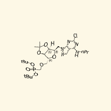 CCCNc1nc(Cl)nc2c1cnn2C[C@H]1O[C@H](COCP(=O)(OC(C)(C)C)OC(C)(C)C)C2OC(C)(C)O[C@H]21